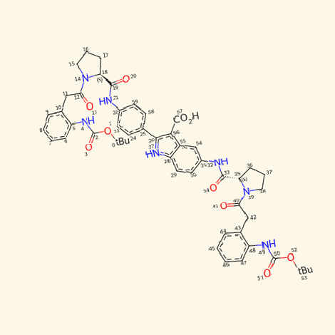 CC(C)(C)OC(=O)Nc1ccccc1CC(=O)N1CCC[C@H]1C(=O)Nc1ccc(-c2[nH]c3ccc(NC(=O)[C@@H]4CCCN4C(=O)Cc4ccccc4NC(=O)OC(C)(C)C)cc3c2C(=O)O)cc1